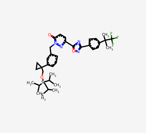 CC(C)[Si](OCC1(c2cccc(Cn3nc(-c4nc(-c5ccc(C(C)(C)C(F)(F)F)cc5)no4)ccc3=O)c2)CC1)(C(C)C)C(C)C